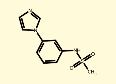 CS(=O)(=O)Nc1cccc(-n2ccnc2)c1